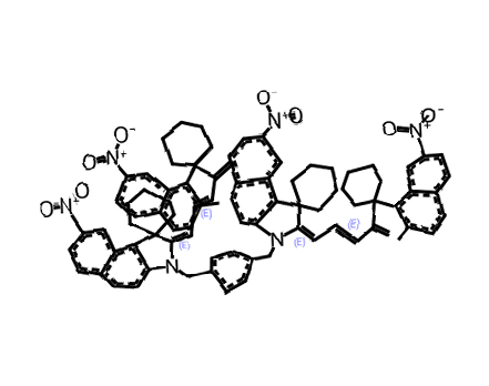 C=C(/C=C/C=C1/N(Cc2ccc(CN3/C(=C/C=C/C(=C)C4(c5c(C)ccc6ccc([N+](=O)[O-])cc56)CCCCC4)C4(CCCCC4)c4c3ccc3ccc([N+](=O)[O-])cc43)cc2)c2ccc3ccc([N+](=O)[O-])cc3c2C12CCCCC2)C1(c2c(C)ccc3ccc([N+](=O)[O-])cc23)CCCCC1